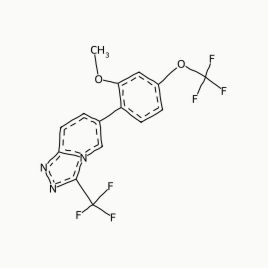 COc1cc(OC(F)(F)F)ccc1-c1ccc2nnc(C(F)(F)F)n2c1